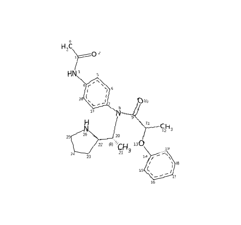 CC(=O)Nc1ccc(N(C(=O)C(C)Oc2ccccc2)[C@H](C)C2CCCN2)cc1